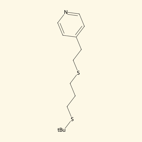 CC(C)(C)SCCCSCCc1ccncc1